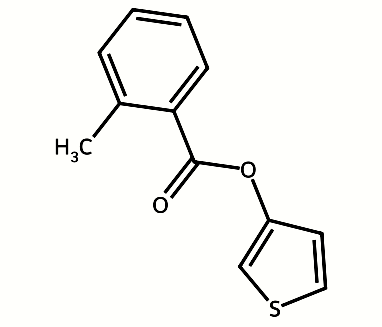 Cc1ccccc1C(=O)Oc1ccsc1